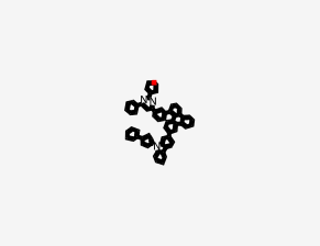 c1ccc(-c2ccc(-n3c4ccccc4c4ccc(-c5ccc6c(c5)c5ccccc5c5cccc(-c7cccc(-c8cc(-c9ccccc9)nc(-c9ccccc9)n8)c7)c56)cc43)cc2)cc1